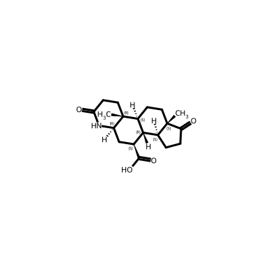 C[C@]12CCC(=O)N[C@@H]1C[C@H](C(=O)O)[C@@H]1[C@@H]2CC[C@]2(C)C(=O)CC[C@@H]12